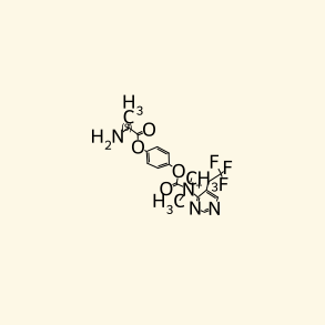 C[C@H](N)C(=O)Oc1ccc(OC(=O)[N+](C)(C)c2ncncc2CC(F)(F)F)cc1